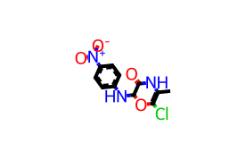 CC1=C(Cl)OC(Nc2ccc([N+](=O)[O-])cc2)C(=O)N1